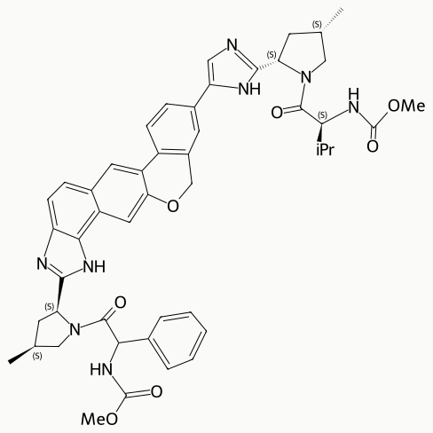 COC(=O)NC(C(=O)N1C[C@@H](C)C[C@H]1c1nc2ccc3cc4c(cc3c2[nH]1)OCc1cc(-c2cnc([C@@H]3C[C@H](C)CN3C(=O)[C@@H](NC(=O)OC)C(C)C)[nH]2)ccc1-4)c1ccccc1